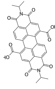 CC(C)N1C(=O)c2ccc3c4c(C(=O)O)cc5c6c(ccc(c7c(C(=O)O)cc(c2c37)C1=O)c64)C(=O)N(C(C)C)C5=O